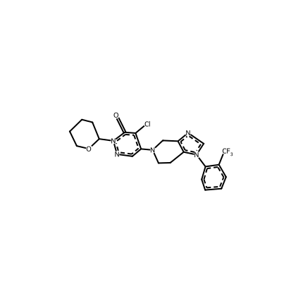 O=c1c(Cl)c(N2CCc3c(ncn3-c3ccccc3C(F)(F)F)C2)cnn1C1CCCCO1